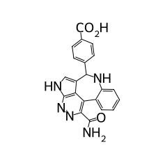 NC(=O)c1nnc2[nH]cc3c2c1-c1ccccc1NC3c1ccc(C(=O)O)cc1